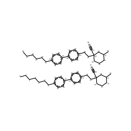 CCCCCCCc1ccc(-c2ccc(CCC3(C#N)CCCC(C)C3)cc2)cc1.CCCCCCc1ccc(-c2ccc(CCC3(C#N)CCCC(C)C3)cc2)cc1